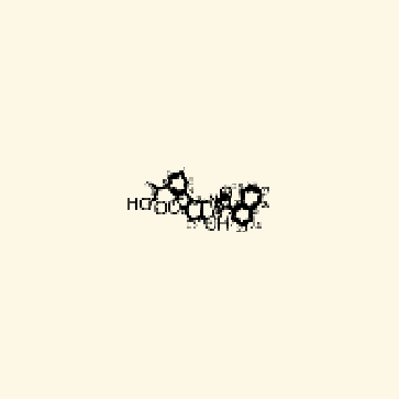 CC(C(=O)O)c1cccc2c1OC1CC(O)C(NS(=O)(=O)c3cccc4ccccc34)C21